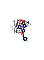 Cc1nc(-c2cnc(C)c([C@H](OC(C)(C)C)C(=O)O)c2N2CCC(C)(C)CC2)ccc1OCCc1ccc(F)cc1